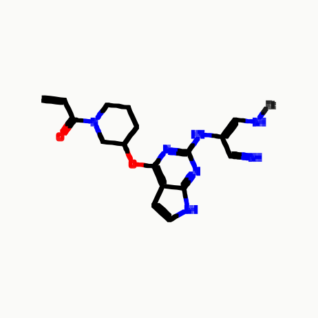 C=CC(=O)N1CCCC(Oc2nc(N/C(C=N)=C/NCC)nc3[nH]ccc23)C1